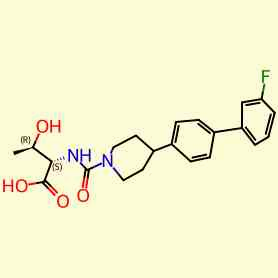 C[C@@H](O)[C@H](NC(=O)N1CCC(c2ccc(-c3cccc(F)c3)cc2)CC1)C(=O)O